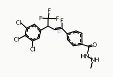 CNNC(=O)c1ccc(/C(F)=C/C(c2cc(Cl)c(Cl)c(Cl)c2)C(F)(F)F)cc1